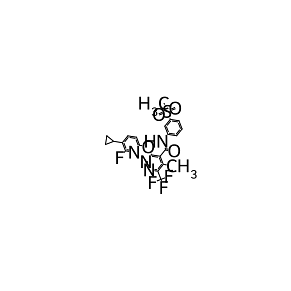 Cc1c(C(F)(F)F)nnc(Oc2ccc(C3CC3)c(F)n2)c1C(=O)Nc1cccc(S(C)(=O)=O)c1